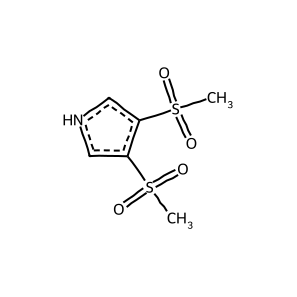 CS(=O)(=O)c1c[nH]cc1S(C)(=O)=O